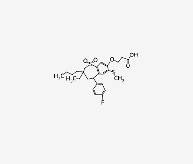 CCCCC1(CC)CC(c2ccc(F)cc2)c2cc(SC)c(OCCC(=O)O)cc2S(=O)(=O)C1